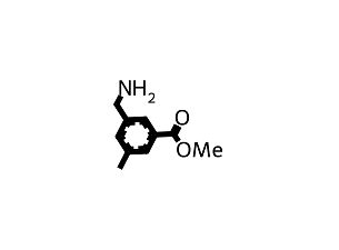 COC(=O)c1cc(C)cc(CN)c1